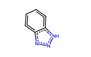 C1=CC=C=c2[nH]nnc2=1